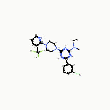 CCN(C)c1nc(-c2cccc(Cl)c2)nc(N2CCN(c3ncccc3C(F)(F)F)CC2)n1